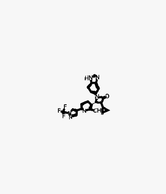 Cc1nc(-c2cnn(C(F)(F)F)c2)ccc1[C@H]1C(C2CC2)C(=O)N1c1ccc2[nH]cnc2c1